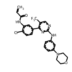 C=CC(=O)Nc1cc(-c2nc(Nc3cccc(N4CCOCC4)c3)ncc2C(F)(F)F)ccc1Cl